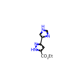 CCOC(=O)c1cc(-c2c[nH]cn2)n[nH]1